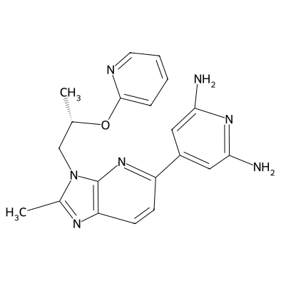 Cc1nc2ccc(-c3cc(N)nc(N)c3)nc2n1C[C@H](C)Oc1ccccn1